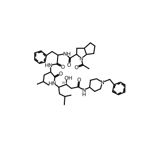 CC(=O)N1C(C(=O)NC(Cc2ccccc2)C(=O)NC(CC(C)C)C(=O)NC(CC(C)C)[C@@H](O)CC(=O)NC2CCN(Cc3ccccc3)CC2)CC2CCCC21